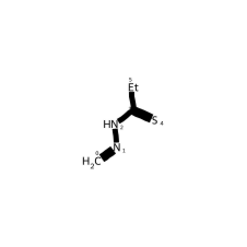 C=NNC(=S)CC